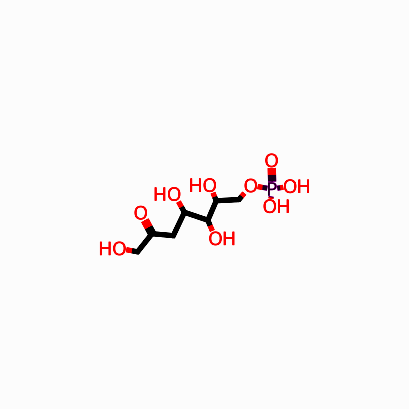 O=C(CO)CC(O)C(O)C(O)COP(=O)(O)O